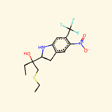 CCSCC(O)(CC)C1Cc2cc([N+](=O)[O-])c(C(F)(F)F)cc2N1